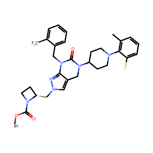 Cc1cccc(F)c1N1CCC(N2Cc3cn(C[C@H]4CCN4C(=O)OC(C)C)nc3N(Cc3ccccc3C(F)(F)F)C2=O)CC1